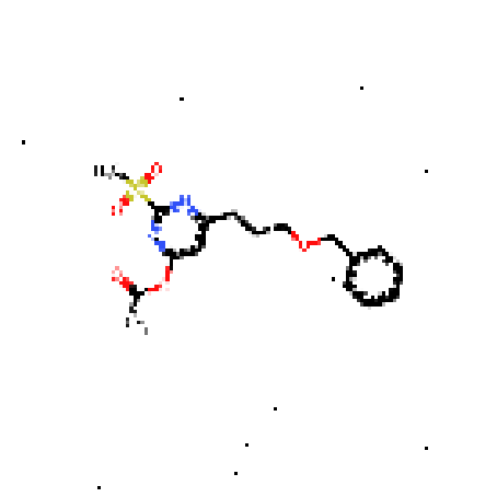 CS(=O)(=O)c1nc(CCCOCc2ccccc2)cc(OC(=O)C(F)(F)F)n1